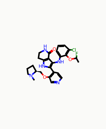 CC(F)Oc1c(Cl)cccc1Nc1c(-c2ccncc2OC[C@@H]2CCCN2C)[nH]c2c1C(=O)NCC2